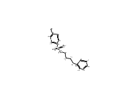 Cc1ccc(S(=O)(=O)OCCCCc2ccccc2)cc1